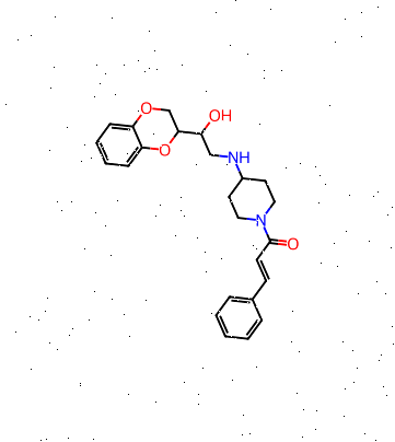 O=C(C=Cc1ccccc1)N1CCC(NCC(O)C2COc3ccccc3O2)CC1